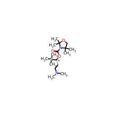 CN(C)CC[C@@H](OC(=O)N1C(C)(C)COC1(C)C)[Si](C)(C)C